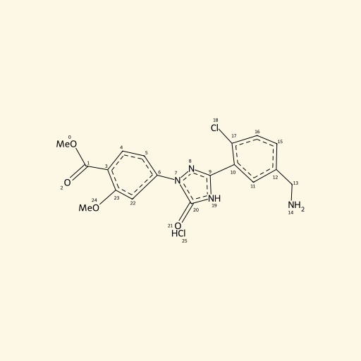 COC(=O)c1ccc(-n2nc(-c3cc(CN)ccc3Cl)[nH]c2=O)cc1OC.Cl